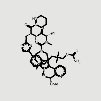 CCn1c(-c2cccnc2[C@H](C)OC)c(CC(C)(C)COC(=O)[SiH3])c2cc(-c3csc(C[C@H](NC(=O)[C@H](C(C)C)N(C)C(=O)N4CCCN(C)CC4)C(=O)N4CCCCN4)n3)ccc21